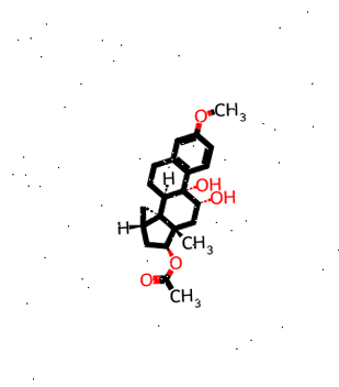 COc1ccc2c(c1)CC[C@H]1[C@]2(O)[C@H](O)C[C@]2(C)[C@@H](OC(C)=O)C[C@@H]3C[C@]312